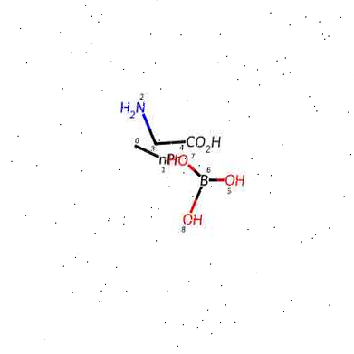 CCCC.NCC(=O)O.OB(O)O